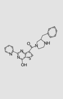 O=C(c1csc2c(O)nc(-c3ccccn3)nc12)N1CCNC(Cc2ccccc2)C1